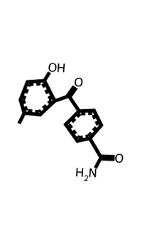 Cc1ccc(O)c(C(=O)c2ccc(C(N)=O)cc2)c1